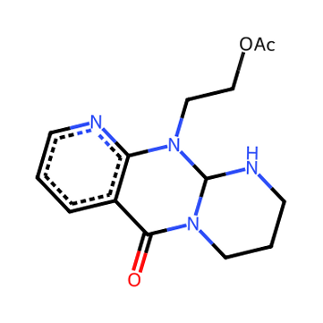 CC(=O)OCCN1c2ncccc2C(=O)N2CCCNC21